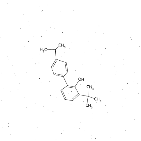 CC(C)c1ccc(-c2cccc(C(C)(C)C)c2O)cc1